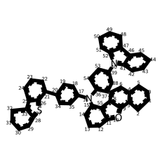 c1ccc2c(c1)ccc1c2oc2cccc(N(c3ccc(-c4cccc5c4sc4ccccc45)cc3)c3ccc(-n4c5ccccc5c5ccccc54)cc3)c21